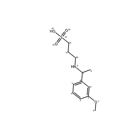 COc1cccc(C(C)NCCCS(=O)(=O)O)c1